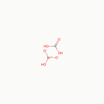 O=C(O)O.[O-][Br+2]([O-])O